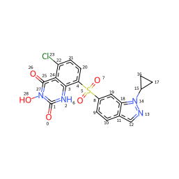 O=c1[nH]c2c(S(=O)(=O)c3ccc4cnn(C5CC5)c4c3)ccc(Cl)c2c(=O)n1O